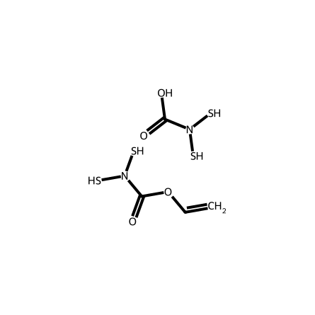 C=COC(=O)N(S)S.O=C(O)N(S)S